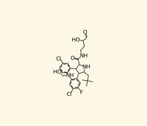 CC(C)(C)CC1NC(C(=O)NCCC(O)C=O)C(c2cccc(Cl)c2)C1c1cc(F)c(Cl)cc1NCO